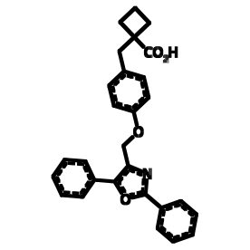 O=C(O)C1(Cc2ccc(OCc3nc(-c4ccccc4)oc3-c3ccccc3)cc2)CCC1